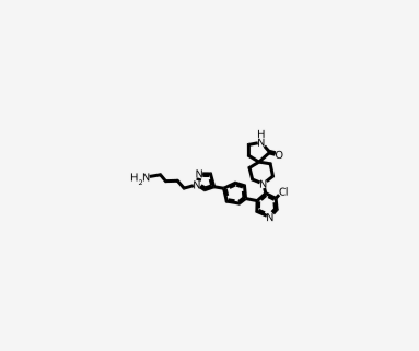 NCCCCn1cc(-c2ccc(-c3cncc(Cl)c3N3CCC4(CCNC4=O)CC3)cc2)cn1